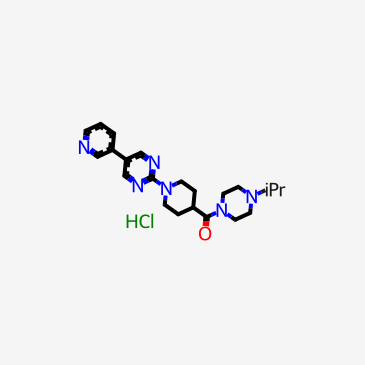 CC(C)N1CCN(C(=O)C2CCN(c3ncc(-c4cccnc4)cn3)CC2)CC1.Cl